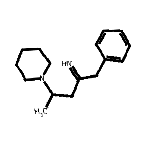 CC(CC(=N)Cc1ccccc1)N1CCCCC1